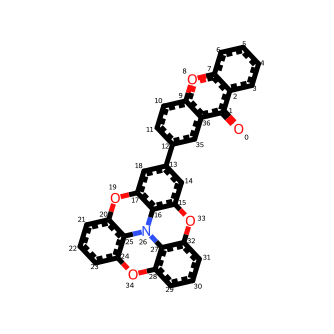 O=c1c2ccccc2oc2ccc(-c3cc4c5c(c3)Oc3cccc6c3N5c3c(cccc3O4)O6)cc12